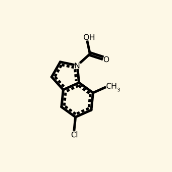 Cc1cc(Cl)cc2ccn(C(=O)O)c12